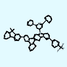 CC1(C)c2ccccc2-c2ccc(-c3ccc4c(c3)c3ccccc3c3cc5c6cc(-c7ccc(C(F)(F)F)cc7)ccc6n(-c6cc(-c7ccccc7)nc(-c7ccccc7)c6)c5cc43)cc21